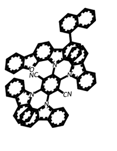 N#Cc1c(-n2c3ccccc3c3ccccc32)c(-n2c3ccccc3c3ccccc32)c(C#N)c(-n2c3cccc(-c4cccc5ccccc45)c3c3ccc4c5ccccc5oc4c32)c1-n1c2ccccc2c2ccccc21